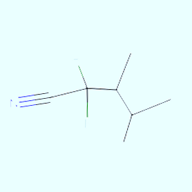 CC(C)C(C)C(F)(F)C#N